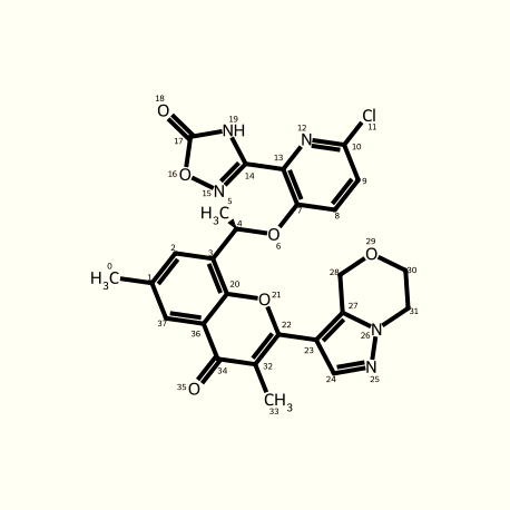 Cc1cc([C@@H](C)Oc2ccc(Cl)nc2-c2noc(=O)[nH]2)c2oc(-c3cnn4c3COCC4)c(C)c(=O)c2c1